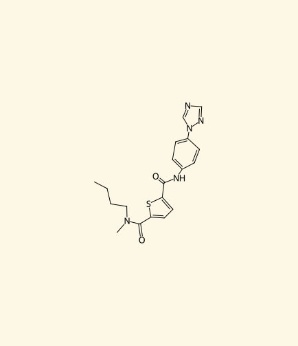 CCCCN(C)C(=O)c1ccc(C(=O)Nc2ccc(-n3cncn3)cc2)s1